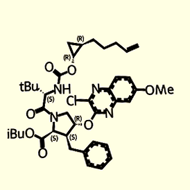 C=CCCC[C@@H]1C[C@H]1OC(=O)N[C@H](C(=O)N1C[C@H](Oc2nc3cc(OC)ccc3nc2Cl)[C@@H](Cc2ccccc2)[C@H]1C(=O)OCC(C)C)C(C)(C)C